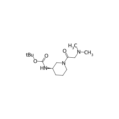 CN(C)CC(=O)N1CCC[C@@H](NC(=O)OC(C)(C)C)C1